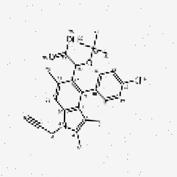 C#CCn1c(C)c(C)c2c(-c3ccc(Cl)cc3)c(C(OC(C)(C)C)C(=O)O)c(C)nc21